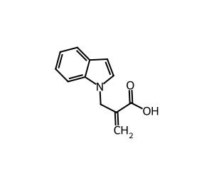 C=C(Cn1ccc2ccccc21)C(=O)O